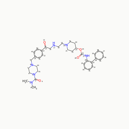 CN(C)C(=O)N1CCN(Cc2ccc(C(=O)CNCCN3CCC(OC(=O)Nc4ccccc4-c4ccccc4)CC3)cc2)CC1